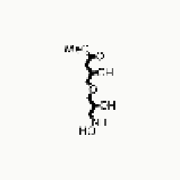 COC(=O)CC(O)COCC(O)CNO